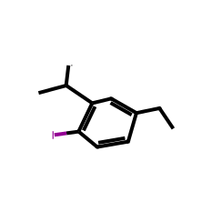 [CH2]C(C)c1cc(CC)ccc1I